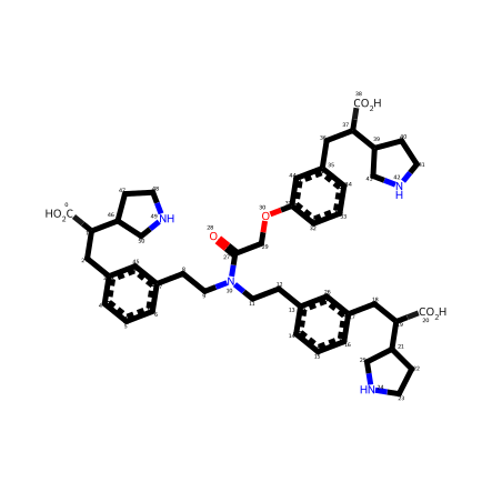 O=C(O)C(Cc1cccc(CCN(CCc2cccc(CC(C(=O)O)C3CCNC3)c2)C(=O)COc2cccc(CC(C(=O)O)C3CCNC3)c2)c1)C1CCNC1